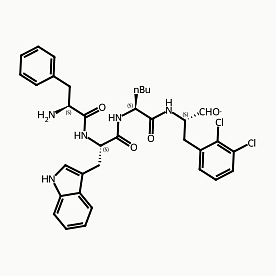 CCCC[C@H](NC(=O)[C@H](Cc1c[nH]c2ccccc12)NC(=O)[C@@H](N)Cc1ccccc1)C(=O)N[C@H]([C]=O)Cc1cccc(Cl)c1Cl